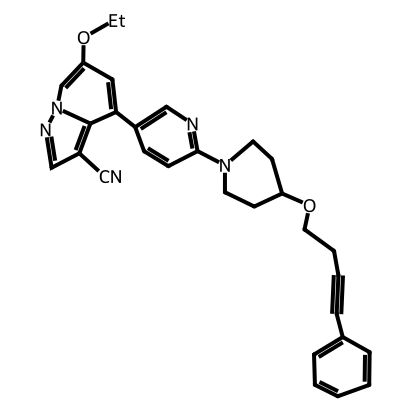 CCOc1cc(-c2ccc(N3CCC(OCCC#Cc4ccccc4)CC3)nc2)c2c(C#N)cnn2c1